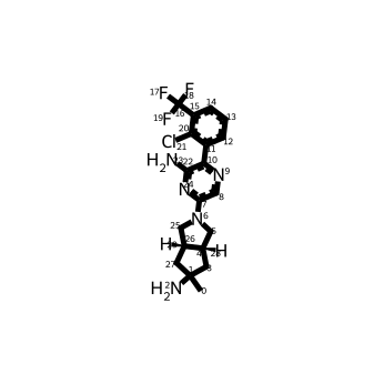 CC1(N)C[C@H]2CN(c3cnc(-c4cccc(C(F)(F)F)c4Cl)c(N)n3)C[C@H]2C1